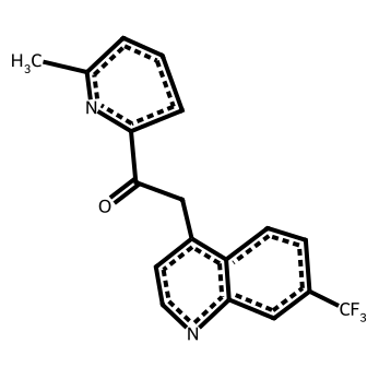 Cc1cccc(C(=O)Cc2ccnc3cc(C(F)(F)F)ccc23)n1